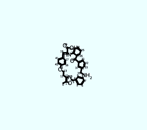 Cc1oc(-c2ccccc2)nc1CCOc1ccc(CC(Nc2ccccc2C(=O)c2cccc(CN)c2)C(=O)O)cc1